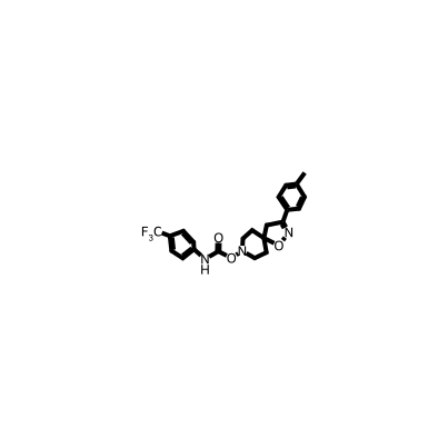 Cc1ccc(C2=NOC3(CCN(OC(=O)Nc4ccc(C(F)(F)F)cc4)CC3)C2)cc1